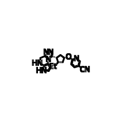 CCC1C[C@@H](Oc2ccc(C#N)cn2)C[C@H]1c1nnc2n1-c1cc[nH]c1NC2